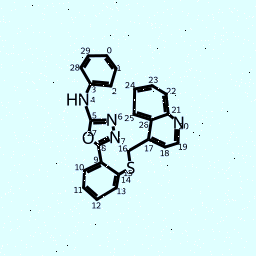 c1ccc(Nc2nnc(-c3ccccc3SCc3ccnc4ccccc34)o2)cc1